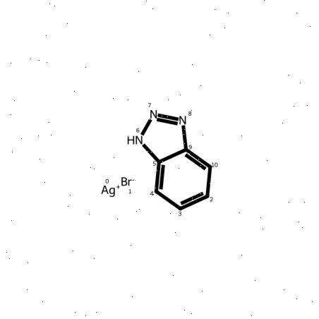 [Ag+].[Br-].c1ccc2[nH]nnc2c1